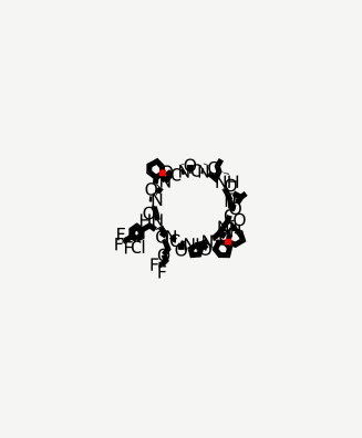 CC[C@H](C)[C@@H]1NC(=O)[C@H](CC(C)C)N(C)C(=O)C[C@@H](C(=O)N2CCCCC2)N(C)C(=O)[C@H](C2CCCCC2)N(C)C(=O)C2(CCCC2)NC(=O)CN(CCOCC(F)F)C(=O)[C@H](CCc2ccc(C(F)(F)F)c(Cl)c2)NC(=O)CN(C)C(=O)[C@H](CC2CCCCC2)N(C)C(=O)CN(C)C(=O)CN(C)C1=O